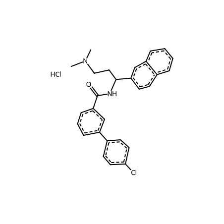 CN(C)CCC(NC(=O)c1cccc(-c2ccc(Cl)cc2)c1)c1ccc2ccccc2c1.Cl